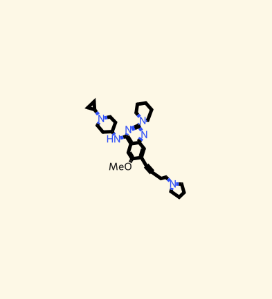 COc1cc2c(NC3CCN(C4CC4)CC3)nc(N3CCCCC3)nc2cc1C#CCCN1CCCC1